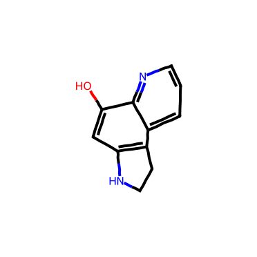 Oc1cc2c(c3cccnc13)CCN2